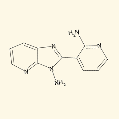 Nc1ncccc1-c1nc2cccnc2n1N